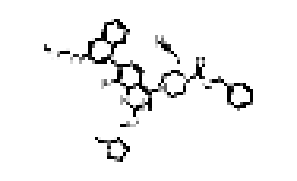 COCOc1cc(-c2ccc3c(N4CCN(C(=O)OCc5ccccc5)[C@@H](CC#N)C4)nc(OC[C@@H]4CCCN4C)nc3c2F)c2ccccc2c1